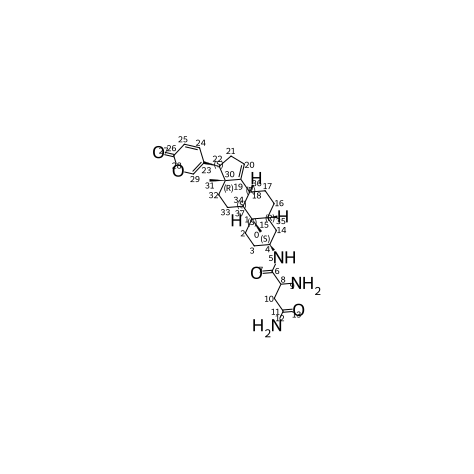 C[C@]12CC[C@H](NC(=O)C(N)CC(N)=O)C[C@H]1CC[C@H]1C3=CC[C@H](c4ccc(=O)oc4)[C@@]3(C)CC[C@@H]12